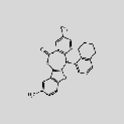 Cc1ccc2c(c1)C(=O)Oc1c(oc3ccc(C)cc13)N2c1cccc2c1CCCC2